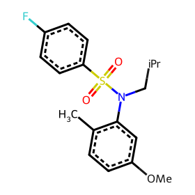 COc1ccc(C)c(N(CC(C)C)S(=O)(=O)c2ccc(F)cc2)c1